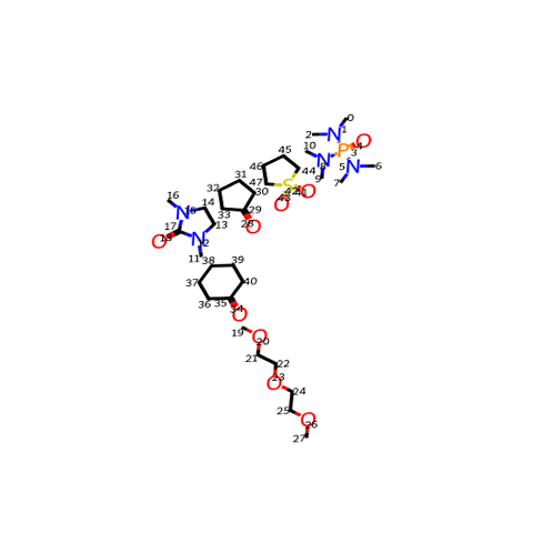 CN(C)P(=O)(N(C)C)N(C)C.CN1CCN(C)C1=O.COCCOCCOC.O=C1CCCC1.O=C1CCCCC1.O=S1(=O)CCCC1